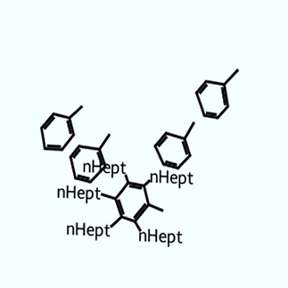 CCCCCCCc1c(C)c(CCCCCCC)c(CCCCCCC)c(CCCCCCC)c1CCCCCCC.Cc1ccccc1.Cc1ccccc1.Cc1ccccc1.Cc1ccccc1